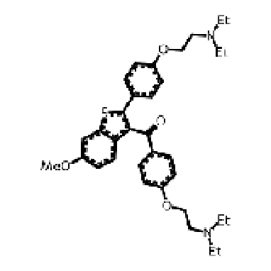 CCN(CC)CCOc1ccc(C(=O)c2c(-c3ccc(OCCN(CC)CC)cc3)sc3cc(OC)ccc23)cc1